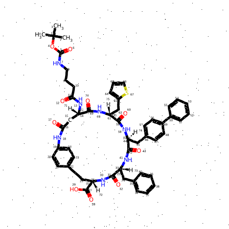 CC(C)(C)OC(=O)NCCCC(=O)N[C@H]1CC(=O)Nc2ccc(cc2)C[C@@H](C(=O)O)NC(=O)[C@@H](Cc2ccccc2)NC(=O)[C@H](Cc2ccc(-c3ccccc3)cc2)NC(=O)[C@@H](Cc2cccs2)NC1=O